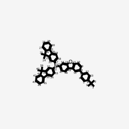 CC(C)(C)c1ccc(-c2ccc3oc4cc(N(c5ccc6c(c5)C(C)(C)c5ccccc5-6)c5ccc6c(c5)C(C)(C)c5ccccc5-6)ccc4c3c2)cc1